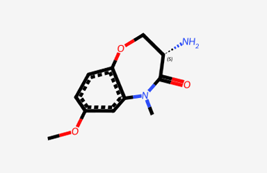 COc1ccc2c(c1)N(C)C(=O)[C@@H](N)CO2